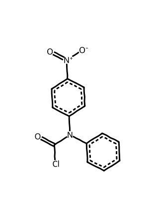 O=C(Cl)N(c1ccccc1)c1ccc([N+](=O)[O-])cc1